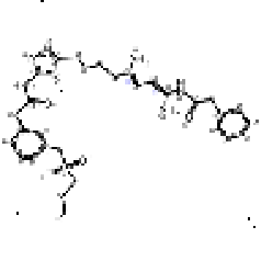 CCCCS(=O)(=O)Cc1cccc(CC(=O)Nc2nnc(CCCC/C(N)=C/C=C(\N)NC(=O)Cc3ccccc3)s2)c1